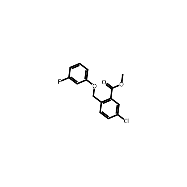 COC(=O)c1cc(Cl)ccc1COc1cccc(F)c1